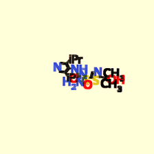 CC(C)c1cncc(C(C)C)c1NC(=O)N=S(N)(=O)c1cnc(C(C)(C)O)s1